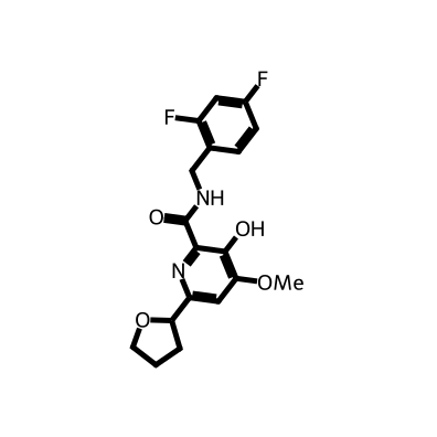 COc1cc(C2CCCO2)nc(C(=O)NCc2ccc(F)cc2F)c1O